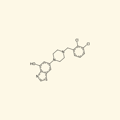 Oc1cc(N2CCN(Cc3cccc(Cl)c3Cl)CC2)cc2scnc12